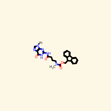 CC(C)n1cnc2c(=O)[nH]c(NC(=O)CCCN(C)C(=O)OCC3c4ccccc4-c4ccccc43)nc21